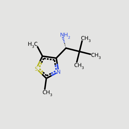 Cc1nc([C@H](N)C(C)(C)C)c(C)s1